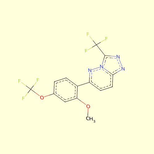 COc1cc(OC(F)(F)F)ccc1-c1ccc2nnc(C(F)(F)F)n2n1